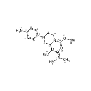 C[SiH](C)OC([C@H]1CN(c2ccc(N)nc2)CCN1C(=O)OC(C)(C)C)C(C)(C)C